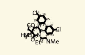 CC[C@@H](CNC)N1C(=O)[C@](C)(CC(=O)O)C[C@H](c2cccc(Cl)c2)[C@H]1c1ccc(Cl)cc1.N